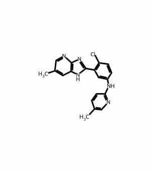 Cc1ccc(Nc2ccc(Cl)c(-c3nc4ncc(C)cc4[nH]3)c2)nc1